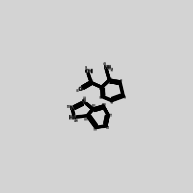 Nc1ccccc1C(=O)O.c1ccc2[nH]nnc2c1